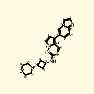 c1cn2cc(-c3ccn4nc(N[C@H]5C[C@@H](N6CCOCC6)C5)ncc34)ccc2n1